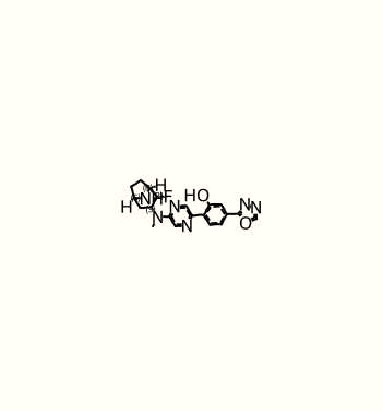 CN(c1cnc(-c2ccc(-c3nnco3)cc2O)cn1)[C@H]1C[C@@H]2CC[C@@H](N2)[C@H]1F